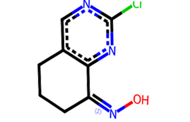 O/N=C1/CCCc2cnc(Cl)nc21